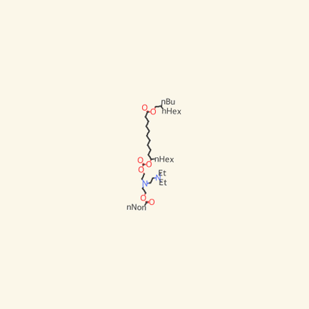 CCCCCCCCCC(=O)OCCN(CCOC(=O)OC(CCCCCC)CCCCCCCCCC(=O)OCC(CCCC)CCCCCC)CCN(CC)CC